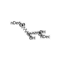 CCCCCCCCCCCOC(=O)CCCCCCCN(CCO)CCCCCCCC(O)OCCCCCCCCCCC